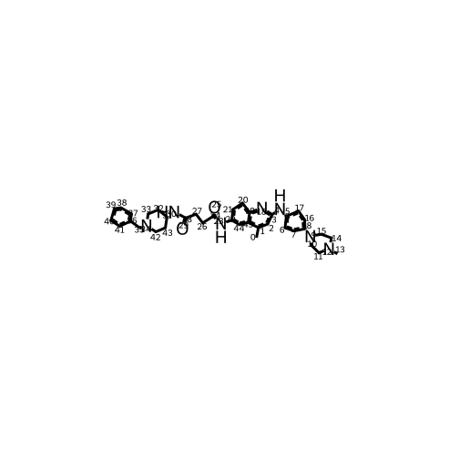 Cc1cc(Nc2ccc(N3CCN(C)CC3)cc2)nc2ccc(NC(=O)CCC(=O)NC3CCN(Cc4ccccc4)CC3)cc12